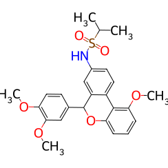 COc1ccc(C2Oc3cccc(OC)c3-c3ccc(NS(=O)(=O)C(C)C)cc32)cc1OC